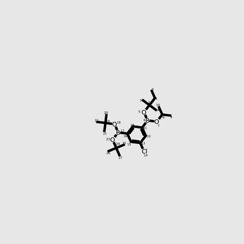 CCC(C)(C)OB(OC(C)C)c1cc(Cl)cc(B(OC(C)(C)C)OC(C)(C)C)c1